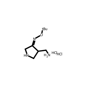 CC(C)(C)ON=C1CNCC1CN.Cl.Cl